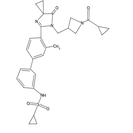 Cc1cc(-c2cccc(NS(=O)(=O)C3CC3)c2)ccc1C1=NC2(CC2)C(=O)N1CC1CN(C(=O)C2CC2)C1